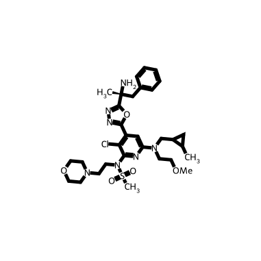 COCCN(CC1CC1C)c1cc(-c2nnc([C@](C)(N)Cc3ccccc3)o2)c(Cl)c(N(CCN2CCOCC2)S(C)(=O)=O)n1